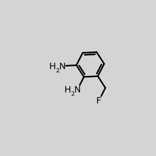 Nc1cccc(CF)c1N